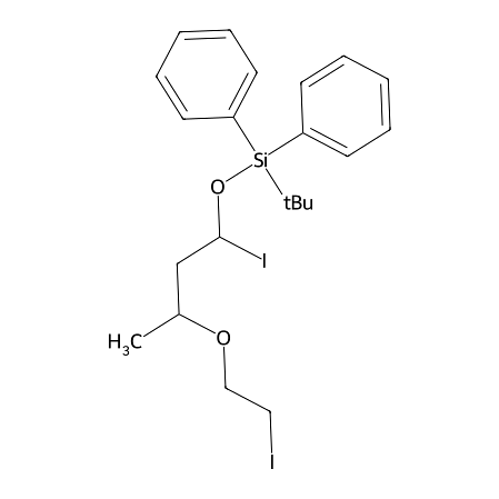 CC(CC(I)O[Si](c1ccccc1)(c1ccccc1)C(C)(C)C)OCCI